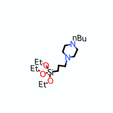 CCCCN1CCN(CCC[Si](OCC)(OCC)OCC)CC1